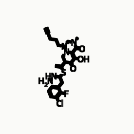 C#CCCCN1CN(C)C(=O)C2=C(O)C(=O)C(C(=C)SC(Cc3cccc(Cl)c3F)NN)CN21